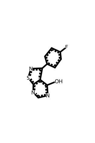 Oc1ncnc2snc(-c3ccc(F)cc3)c12